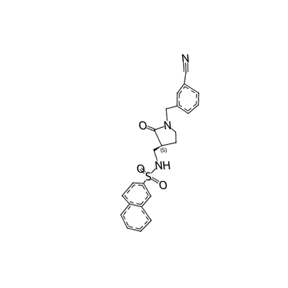 N#Cc1cccc(CN2CC[C@@H](CNS(=O)(=O)c3ccc4ccccc4c3)C2=O)c1